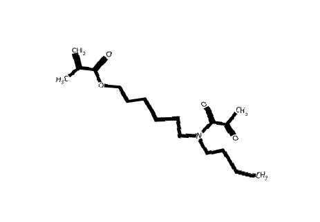 C=C(C)C(=O)OCCCCCCN(CCCC)C(=O)C(C)=O